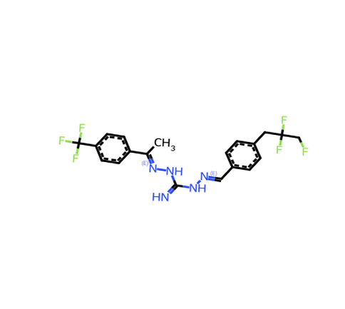 C/C(=N\NC(=N)N/N=C/c1ccc(CC(F)(F)CF)cc1)c1ccc(C(F)(F)F)cc1